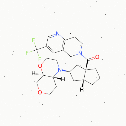 O=C(N1CCc2ncc(C(F)(F)F)cc2C1)[C@@]12CCC[C@@H]1C[C@@H](N1CCO[C@@H]3COCC[C@H]31)C2